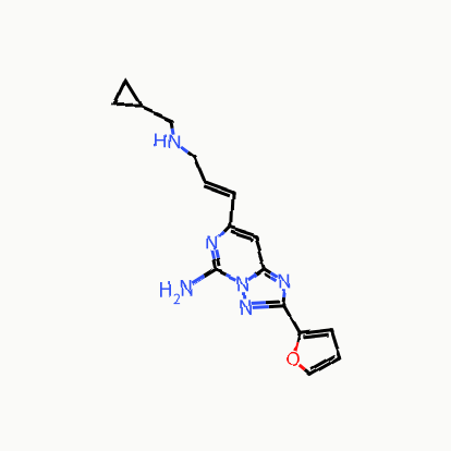 Nc1nc(/C=C/CNCC2CC2)cc2nc(-c3ccco3)nn12